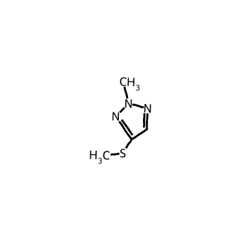 CSc1cnn(C)n1